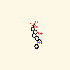 C[C@]12Cc3cnn(-c4ccc(F)cc4)c3C=C1CCC1C2[C@@H](O)C[C@@]2(C)C1CC[C@]2(O)C(=O)CO